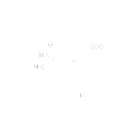 CC1(C)C2CCC1(CC(=O)[O-])C(=O)C2.[Li+]